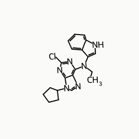 CCN(c1c[nH]c2ccccc12)c1nc(Cl)nc2c1ncn2C1CCCC1